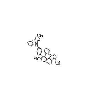 N#Cc1ccc2c(c1)c1ccccc1n2-c1ccc(-c2c(C#N)cccc2-c2ccccc2-n2c3ccccc3c3c(C#N)cccc32)cc1